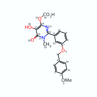 COc1ccc(COc2cccc(-c3nc(OC(=O)O)c(O)c(=O)n3C)c2)cc1